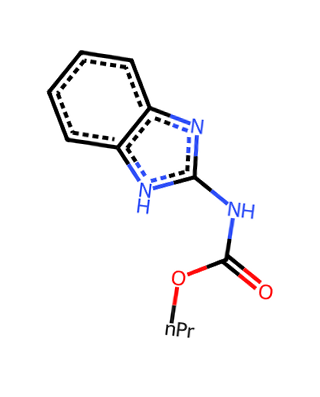 CCCOC(=O)Nc1nc2ccccc2[nH]1